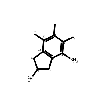 [2H]C1Cc2c(B)c(C)c(C)c(C)c2C1